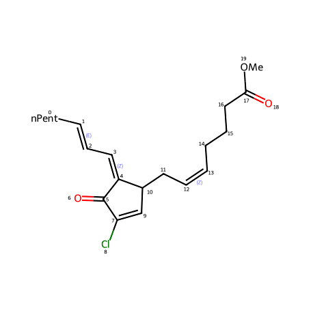 CCCCC/C=C/C=C1\C(=O)C(Cl)=CC1C/C=C\CCCC(=O)OC